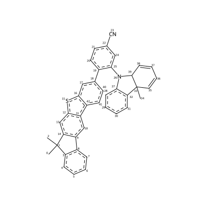 CC1(C)c2ccccc2-c2cc3c(cc21)sc1cc(-c2ccc(C#N)cc2N2c4ccccc4C4(C)C=CC=CC24)ccc13